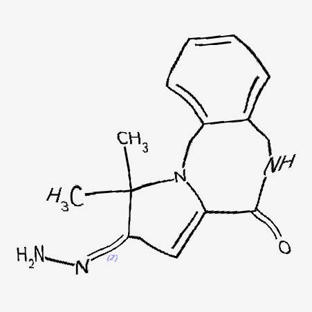 CC1(C)/C(=N\N)C=C2C(=O)Nc3ccccc3N21